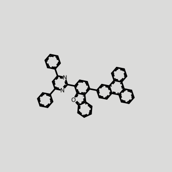 c1ccc(-c2cc(-c3ccccc3)nc(-c3ccc(-c4ccc5c6ccccc6c6ccccc6c5c4)c4c3oc3ccccc34)n2)cc1